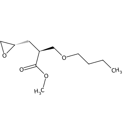 CCCCOC[C@H](C[C@H]1CO1)C(=O)OC